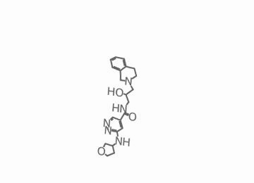 O=C(NCC(O)CN1CCc2ccccc2C1)c1cnnc(NC2CCOC2)c1